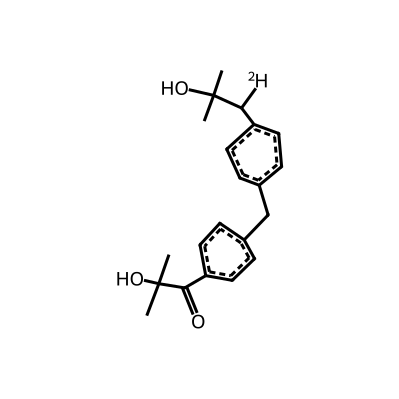 [2H]C(c1ccc(Cc2ccc(C(=O)C(C)(C)O)cc2)cc1)C(C)(C)O